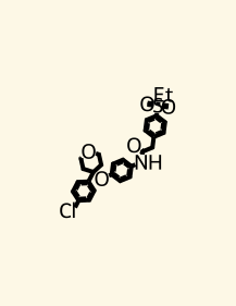 CCS(=O)(=O)c1ccc(CC(=O)Nc2ccc(OC3(c4ccc(Cl)cc4)CCOCC3)cc2)cc1